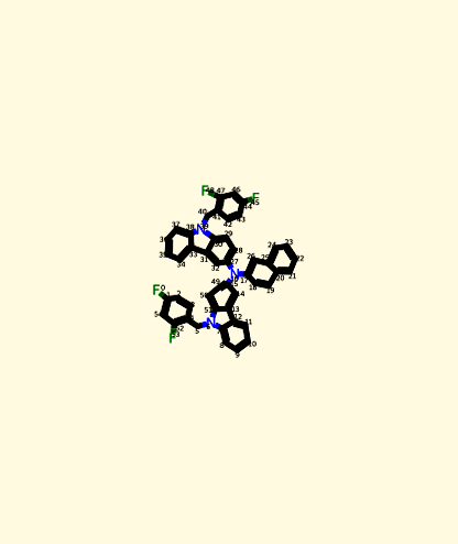 Fc1ccc(Cn2c3ccccc3c3cc(N(c4ccc5ccccc5c4)c4ccc5c(c4)c4ccccc4n5Cc4ccc(F)cc4F)ccc32)c(F)c1